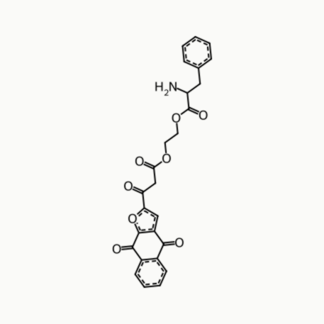 NC(Cc1ccccc1)C(=O)OCCOC(=O)CC(=O)c1cc2c(o1)C(=O)c1ccccc1C2=O